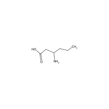 CCCC(N)CC(=O)O